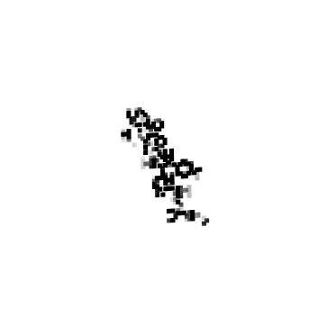 CC1(C(=O)N2CCOCC2)COC(c2nc(-c3ccc(F)cc3)c(-c3ccnc(NCCC(N)=O)n3)[nH]2)OC1